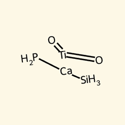 [O]=[Ti]=[O].[SiH3][Ca][PH2]